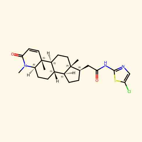 CN1C(=O)C=C[C@]2(C)[C@H]3CC[C@]4(C)[C@@H](CC(=O)Nc5ncc(Cl)s5)CC[C@H]4[C@@H]3CC[C@@H]12